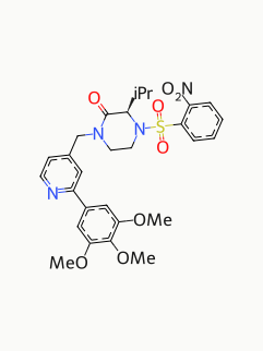 COc1cc(-c2cc(CN3CCN(S(=O)(=O)c4ccccc4[N+](=O)[O-])[C@H](C(C)C)C3=O)ccn2)cc(OC)c1OC